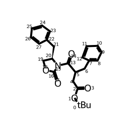 CC(C)(C)OC(=O)CC(Cc1ccccc1)C(=O)N1C(=O)OC[C@H]1Cc1ccccc1